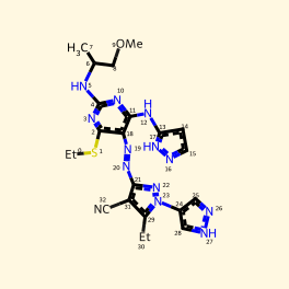 CCSc1nc(NC(C)COC)nc(Nc2ccn[nH]2)c1N=Nc1nn(-c2cn[nH]c2)c(CC)c1C#N